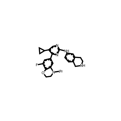 CC(C)N1CCOc2c(F)cc(-c3nc(Nc4ccc5c(c4)CCNC5)ncc3C3CC3)cc21